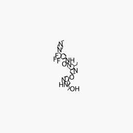 CCC1CN(C(=O)Nc2ccc(CN3CCN(CC)CC3)c(C(F)(F)F)c2)Cc2cc(Oc3ccnc4[nH]c(C(C)O)cc34)cnc21